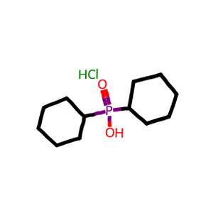 Cl.O=P(O)(C1CCCCC1)C1CCCCC1